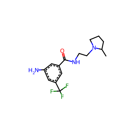 CC1CCCN1CCNC(=O)c1cc(N)cc(C(F)(F)F)c1